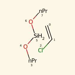 C=CCl.CCCO[SiH2]OCCC